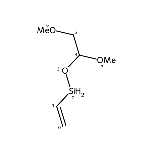 C=C[SiH2]OC(COC)OC